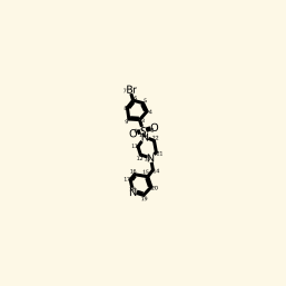 O=S(=O)(c1ccc(Br)cc1)N1CCN(Cc2ccncc2)CC1